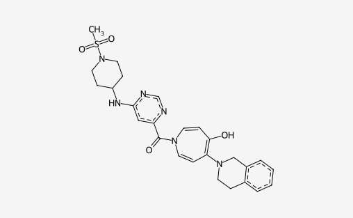 CS(=O)(=O)N1CCC(Nc2cc(C(=O)N3C=CC(O)=C(N4CCc5ccccc5C4)C=C3)ncn2)CC1